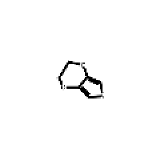 [C]1COc2cscc2O1